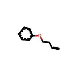 C=CCCOc1cc[c]cc1